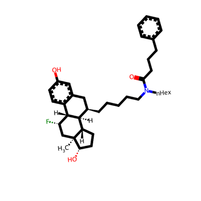 CCCCCCN(CCCCC[C@@H]1Cc2cc(O)ccc2[C@@H]2[C@@H]1[C@@H]1CC[C@H](O)[C@@]1(C)C[C@@H]2F)C(=O)CCCc1ccccc1